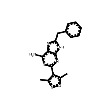 Cc1noc(C)c1-c1nc(N)c2nc(Cc3ccccc3)[nH]c2n1